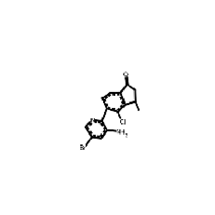 CC1CC(=O)c2ccc(-c3ncc(Br)cc3N)c(Cl)c21